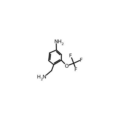 NCc1ccc(N)cc1OC(F)(F)F